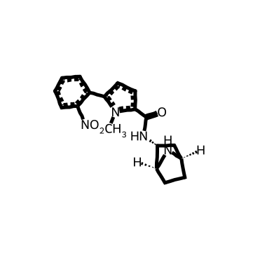 Cn1c(C(=O)N[C@@H]2C[C@H]3CC[C@@H]2N3)ccc1-c1ccccc1[N+](=O)[O-]